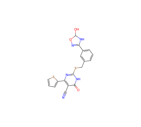 N#Cc1c(-c2cccs2)nc(SCc2cccc(C3=NOC(O)N3)c2)[nH]c1=O